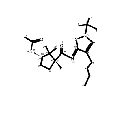 CCCCc1cn(C(C)(C)C)sc1=NC(=O)[C@]1(C)CC[C@H](NC(C)=O)C1(C)C